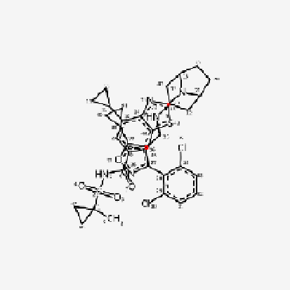 CC1(S(=O)(=O)NC(=O)c2cc(C3CC3)c3nc(N4C5CCC4CC(NCc4c(-c6c(Cl)cccc6Cl)noc4C4CC4)C5)sc3c2)CC1